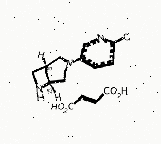 Clc1ccc(N2C[C@H]3CN[C@H]3C2)cn1.O=C(O)C=CC(=O)O